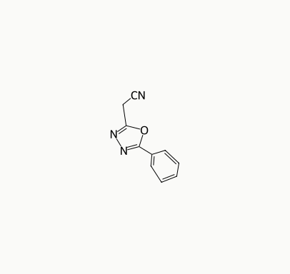 N#CCc1nnc(-c2ccccc2)o1